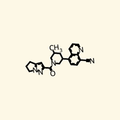 CC1CC(c2ccc(C#N)c3ncccc23)CN(C(=O)c2cc3n(n2)CCC3)C1